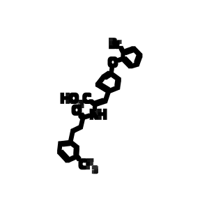 O=C(CCc1cccc(C(F)(F)F)c1)N/C(=C/c1ccc(Oc2ccccc2Br)cc1)C(=O)O